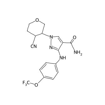 N#CC1CCOCC1n1cc(C(N)=O)c(Nc2ccc(OC(F)(F)F)cc2)n1